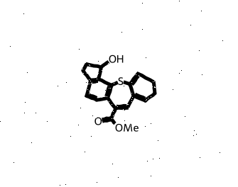 COC(=O)C1=CC2=CCCC=C2Sc2c1ccc1c2C(O)CC1